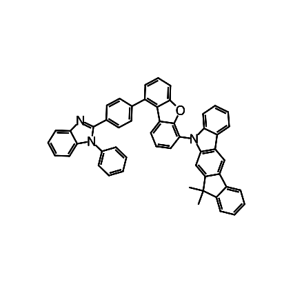 CC1(C)c2ccccc2-c2cc3c4ccccc4n(-c4cccc5c4oc4cccc(-c6ccc(-c7nc8ccccc8n7-c7ccccc7)cc6)c45)c3cc21